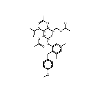 COc1ccc(Cc2c(C)cc(C)cc2O[C@H]2O[C@H](COC(C)=O)[C@@H](OC(C)=O)[C@H](OC(C)=O)[C@H]2OC(C)=O)cc1